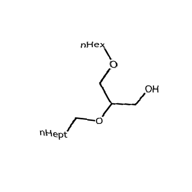 CCCCCCCCOC(CO)COCCCCCC